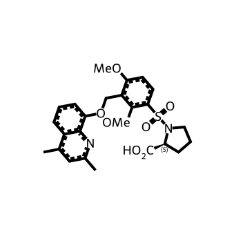 COc1ccc(S(=O)(=O)N2CCC[C@H]2C(=O)O)c(OC)c1COc1cccc2c(C)cc(C)nc12